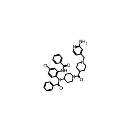 Nc1cc(CN2CCC(C(=O)N3CCC(N(C(=O)c4ccccc4)c4ccc(Cl)cc4NC(=O)c4ccccc4)CC3)CC2)ccn1